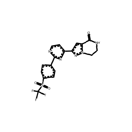 O=C1NCCn2nc(-c3ccnc(-c4ccc(S(=O)(=O)C(F)(F)F)cc4)n3)cc21